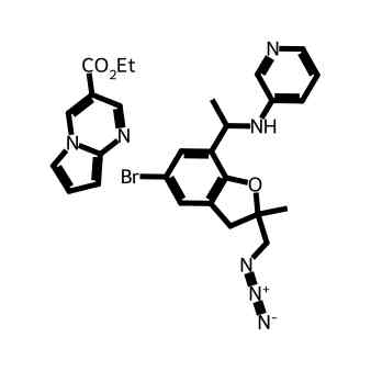 CC(Nc1cccnc1)c1cc(Br)cc2c1OC(C)(CN=[N+]=[N-])C2.CCOC(=O)c1cnc2cccn2c1